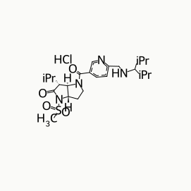 CC(C)C(NCc1ccc(C(=O)N2CC[C@H]3[C@H]2[C@@H](C(C)C)C(=O)N3S(C)(=O)=O)cn1)C(C)C.Cl